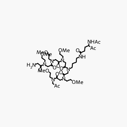 COCCN(CC(C)=O)C(=O)CN(CCOC)C(=O)CN(CCCCNC(=O)CCC(NC(C)=O)C(C)=O)C(=O)CN(CCOC)C(=O)CN(CCOC)C(=O)CN(CCOC)C(=O)CN